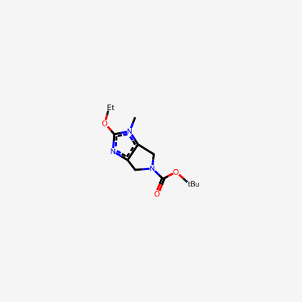 CCOc1nc2c(n1C)CN(C(=O)OC(C)(C)C)C2